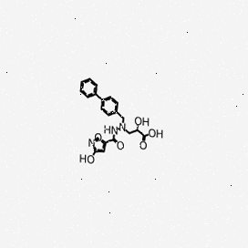 O=C(NN(Cc1ccc(-c2ccccc2)cc1)C[C@@H](O)C(=O)O)c1cc(O)no1